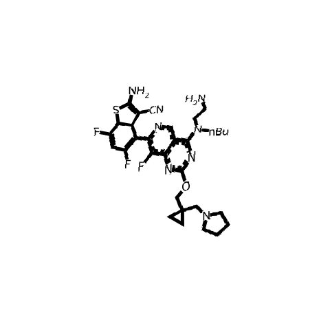 CCCCN(CCN)c1nc(OCC2(CN3CCCC3)CC2)nc2c(F)c(C3=C(F)C=C(F)C4SC(N)=C(C#N)C34)ncc12